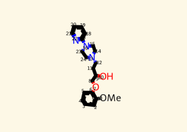 COc1ccccc1OCC(O)CCN1CCN(c2ccccn2)CC1